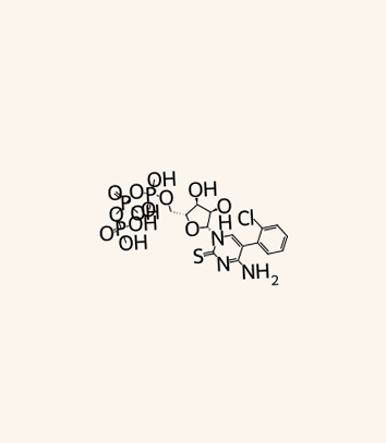 Nc1nc(=S)n([C@@H]2O[C@H](COP(=O)(O)OP(=O)(O)OP(=O)(O)O)[C@@H](O)[C@H]2O)cc1-c1ccccc1Cl